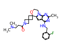 Cc1nc(NCc2ccccc2F)c2cc3n(c2n1)CCOC31CC2(CN(C(=O)CCN(C)C)C2)C1